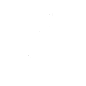 CC(Oc1noc2c(-c3cncc4ccccc34)cccc12)C(F)(F)F